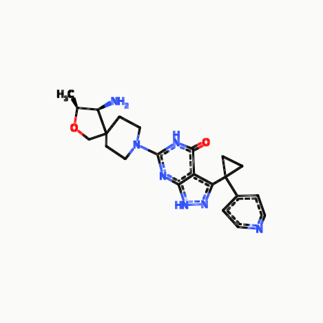 C[C@@H]1OCC2(CCN(c3nc4[nH]nc(C5(c6ccncc6)CC5)c4c(=O)[nH]3)CC2)[C@@H]1N